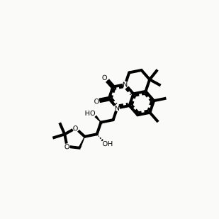 Cc1cc2c3c(c1C)C(C)(C)CCn3c(=O)c(=O)n2C[C@H](O)[C@H](O)[C@H]1COC(C)(C)O1